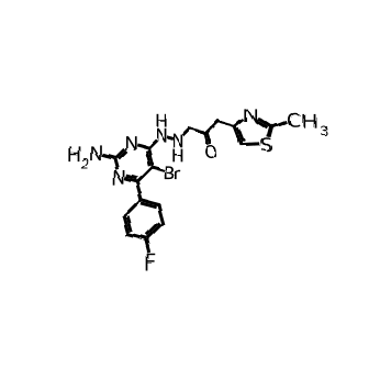 Cc1nc(CC(=O)CNNc2nc(N)nc(-c3ccc(F)cc3)c2Br)cs1